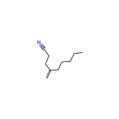 C=C(CCC#N)CCCCC